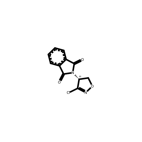 O=C1c2ccccc2C(=O)N1[C@@H]1CON=C1Cl